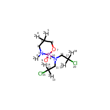 [2H]N1CC([2H])([2H])COP1(=O)N(CC([2H])([2H])Cl)CC([2H])([2H])Cl